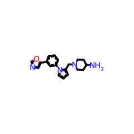 NC1CCN(Cc2cccn2-c2cccc(-c3cnco3)c2)CC1